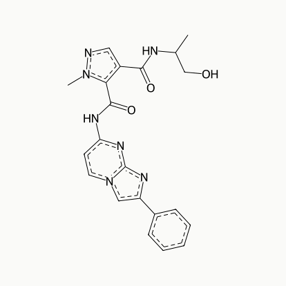 CC(CO)NC(=O)c1cnn(C)c1C(=O)Nc1ccn2cc(-c3ccccc3)nc2n1